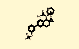 O=C(O)N(C1c2ccc(-c3cccc(OC(F)(F)F)c3)cc2CCC12CC2)[C@@H]1CN2CCC1CC2